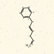 C=CCC=CCc1ccccc1